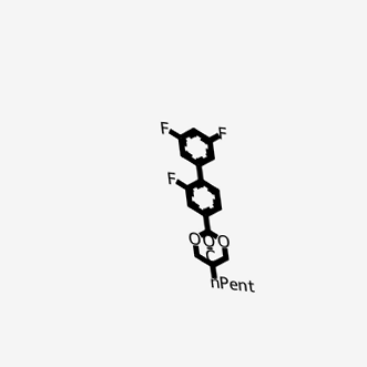 CCCCCC12COC(c3ccc(-c4cc(F)cc(F)c4)c(F)c3)(OC1)OC2